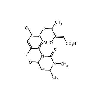 CO/C(=C\C(=O)O)C(C)Oc1cc(-n2c(=O)cc(C(F)(F)F)n(C)c2=S)c(F)cc1Cl